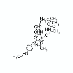 C=CCOc1ccc(C[C@H](NC(C)=O)C(=O)N[C@@H](CCCC(C)NC(=O)OC(C)(C)C)C(=O)N[C@@H](CC=C)C(=O)O)cc1